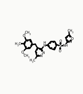 COc1cc(Cc2cc(C)nnc2Nc2ccc(S(=O)(=O)Nc3cc(C)on3)cc2)cc(OC)c1C